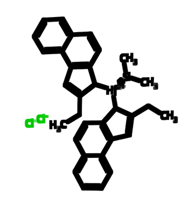 CCC1=Cc2c(ccc3ccccc23)[CH]1[Hf+2]([CH]1C(CC)=Cc2c1ccc1ccccc21)=[Si](C)C.[Cl-].[Cl-]